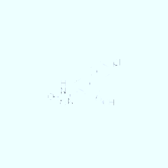 COCc1cc(-c2noc(=O)[nH]2)ccc1-c1ccc(Cl)cc1